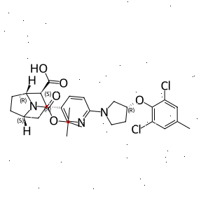 Cc1cc(Cl)c(O[C@@H]2CCN(c3ccc([C@@H]4C[C@@H]5CC[C@H]([C@H]4C(=O)O)N5C(=O)OC(C)(C)C)cn3)C2)c(Cl)c1